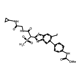 COC(=O)Nc1ccc(-c2cc3nc(C(C(=O)NCC(=O)NC4CC4)S(C)(=O)=O)sc3cc2F)cc1